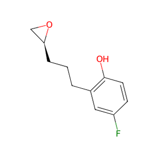 Oc1ccc(F)cc1CCC[C@H]1CO1